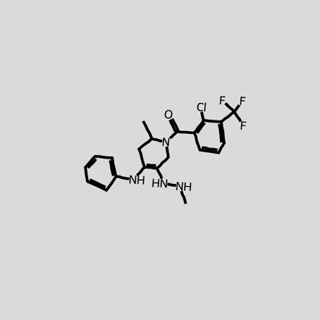 CNNC1=C(Nc2ccccc2)CC(C)N(C(=O)c2cccc(C(F)(F)F)c2Cl)C1